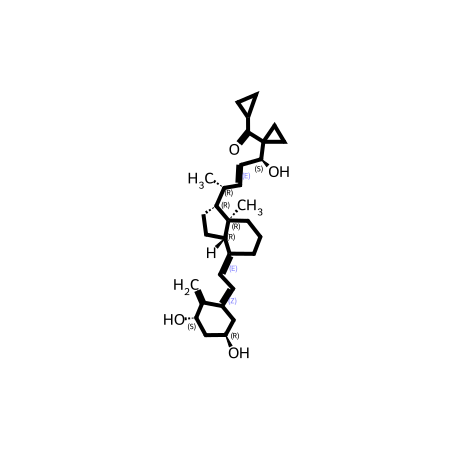 C=C1/C(=C\C=C2/CCC[C@]3(C)[C@@H]([C@H](C)/C=C/[C@H](O)C4(C(=O)C5CC5)CC4)CC[C@@H]23)C[C@@H](O)C[C@@H]1O